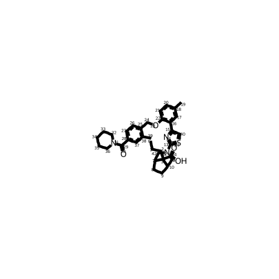 CCCC1(C(=O)O)C2CCC1CN(c1nc(-c3cc(C)ccc3OCc3ccc(C(=O)N4CCCCC4)cc3C)cs1)C2